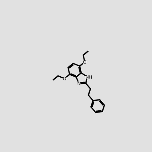 CCOc1ccc(OCC)c2[nH]c(CCc3ccccc3)nc12